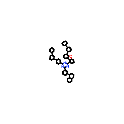 c1ccc(-c2cccc(-c3ccc(-c4nc(-c5cccc(-c6cccc7ccccc67)c5)nc(-c5cccc6oc7c(-c8cccc(-c9ccccc9)c8)cccc7c56)n4)cc3)c2)cc1